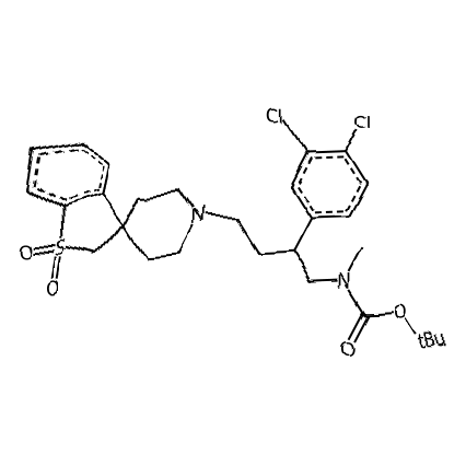 CN(CC(CCN1CCC2(CC1)CS(=O)(=O)c1ccccc12)c1ccc(Cl)c(Cl)c1)C(=O)OC(C)(C)C